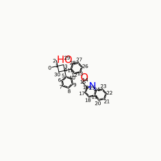 CC1(C)CC(c2ccccc2)(c2cc(OCc3ccc4ccccc4n3)ccc2O)C1